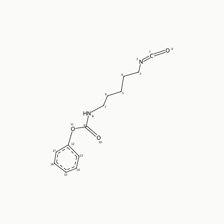 O=C=NCCCCCNC(=O)Oc1ccccc1